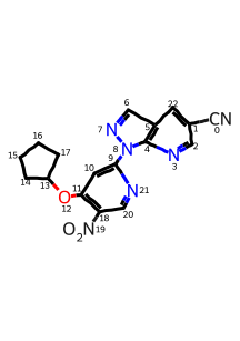 N#Cc1cnc2c(cnn2-c2cc(OC3CCCC3)c([N+](=O)[O-])cn2)c1